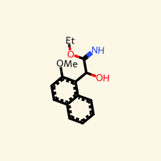 CCOC(=N)C(O)c1c(OC)ccc2ccccc12